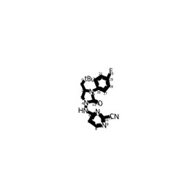 CC(C)(C)CC1CN(Nc2ccnc(C#N)n2)C(=O)N1c1ccc(F)cc1